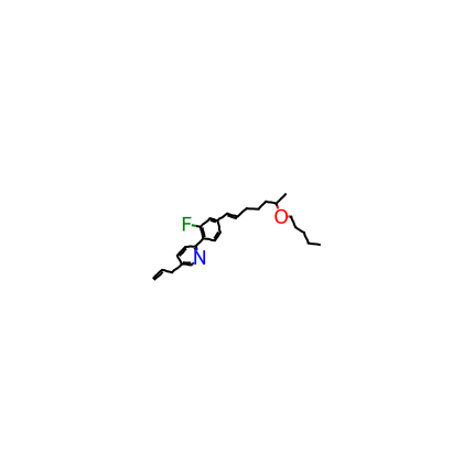 C=CCc1ccc(-c2ccc(C=CCCCC(C)OCCCCC)cc2F)nc1